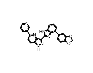 c1cncc(-c2ccc3[nH]nc(-c4nc5c(-c6ccc7c(c6)OCO7)cccc5[nH]4)c3n2)c1